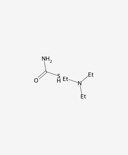 CCN(CC)CC.NC(=O)S